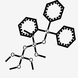 CO[Si](OC)(OC)O[Si](OC)(OC)O[Si](c1ccccc1)(c1ccccc1)c1ccccc1